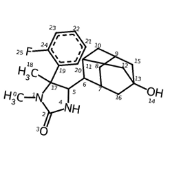 CN1C(=O)NC(C2C3CC4CC2CC(O)(C4)C3)C1(C)c1ccccc1F